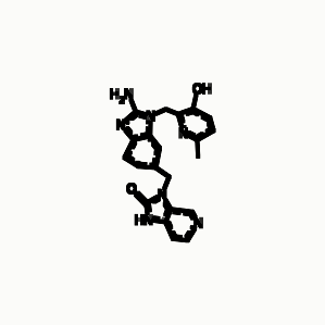 Cc1ccc(O)c(Cn2c(N)nc3ccc(Cn4c(=O)[nH]c5ccncc54)cc32)n1